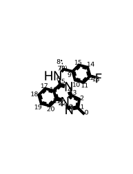 Cc1cc2nc(N[C@H](C)c3ccc(F)cc3)c3ccccc3n2n1